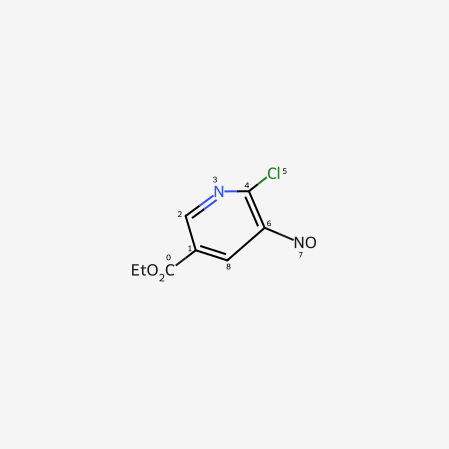 CCOC(=O)c1cnc(Cl)c(N=O)c1